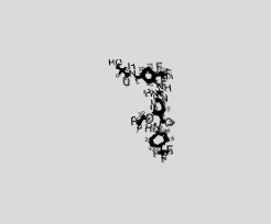 CC(C)(CO)C(=O)NCc1ccc(C(F)(F)F)c(Nc2nc3cc(C(=O)N[C@H]4CC[C@H](C(F)(F)F)CC4)c(OCC(F)F)nc3[nH]2)c1